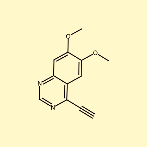 C#Cc1ncnc2cc(OC)c(OC)cc12